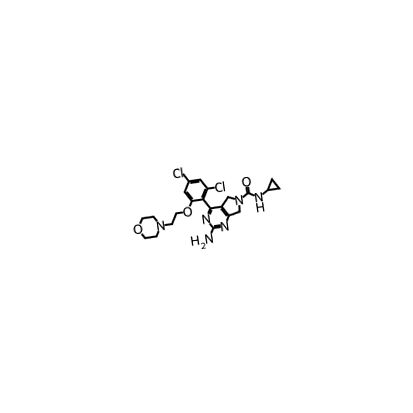 Nc1nc2c(c(-c3c(Cl)cc(Cl)cc3OCCN3CCOCC3)n1)CN(C(=O)NC1CC1)C2